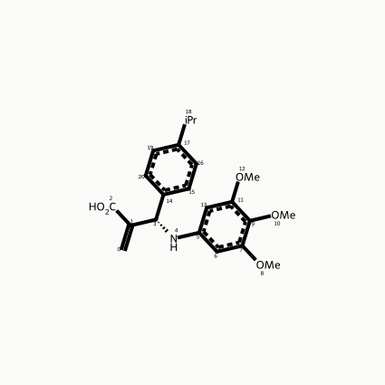 C=C(C(=O)O)[C@@H](Nc1cc(OC)c(OC)c(OC)c1)c1ccc(C(C)C)cc1